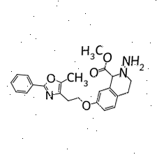 COC(=O)C1c2cc(OCCc3nc(-c4ccccc4)oc3C)ccc2CCN1N